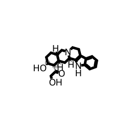 O=C(CO)[C@H]1[C@H]2C[C@H]3c4[nH]c5ccccc5c4CCN3C[C@H]2CC[C@@H]1O